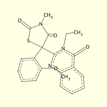 CCn1c(C2(c3ccccc3OC)SC(=O)N(C)C2=O)nc2ccccc2c1=O